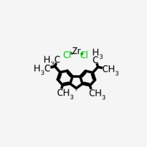 Cc1cc(C(C)C)cc2c1[CH]c1c(C)cc(C(C)C)cc1-2.[Cl][Zr][Cl]